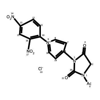 CC(=O)N1CC(=O)N(c2cc[n+](-c3ccc([N+](=O)[O-])cc3[N+](=O)[O-])cc2)C1=O.[Cl-]